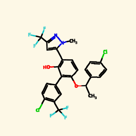 CC(Oc1ccc(-c2cc(C(F)(F)F)nn2C)c(O)c1-c1ccc(Cl)c(C(F)(F)F)c1)c1ccc(Cl)cc1